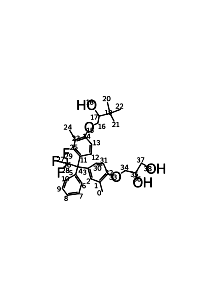 Cc1cc(C(c2ccccc2)(c2ccc(OCC(O)C(C)(C)C)c(C)c2)C(F)(F)F)ccc1OCC(O)CO